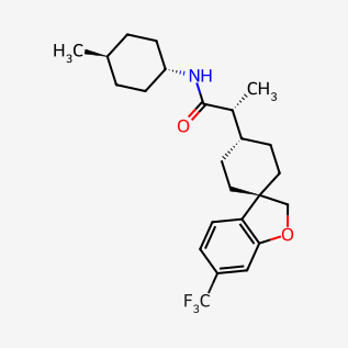 C[C@@H](C(=O)N[C@H]1CC[C@H](C)CC1)[C@H]1CC[C@@]2(CC1)COc1cc(C(F)(F)F)ccc12